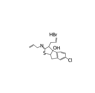 Br.C=CCN=C1SC2Cc3cc(Cl)ccc3C2(O)C1CC=C